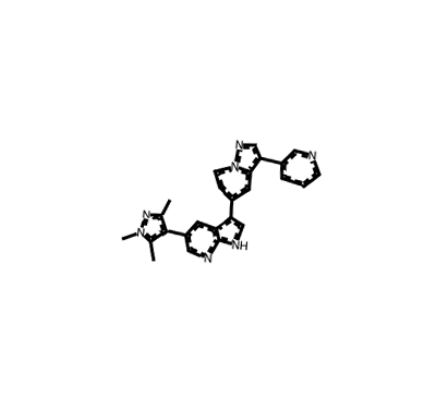 Cc1nn(C)c(C)c1-c1cnc2[nH]cc(-c3ccn4ncc(-c5cccnc5)c4c3)c2c1